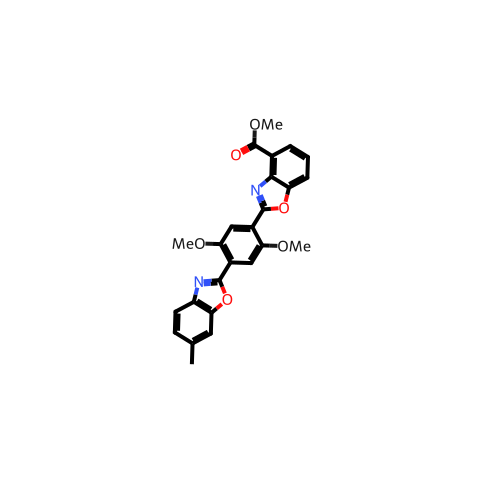 COC(=O)c1cccc2oc(-c3cc(OC)c(-c4nc5ccc(C)cc5o4)cc3OC)nc12